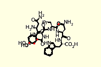 CC(C)C[C@H](NC(=O)[C@H](Cc1ccc(O)cc1)NC(=O)[C@H](CC(=O)O)NC(=O)[C@@H](N)CC(N)=O)C(=O)N[C@@H](CC(N)=O)C(=O)N[C@@H](Cc1c[nH]c2ccccc12)C(=O)O